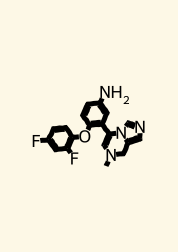 CN1C=C(c2cc(N)ccc2Oc2ccc(F)cc2F)n2cncc2C1